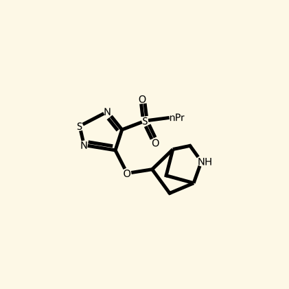 CCCS(=O)(=O)c1nsnc1OC1CC2CC1CN2